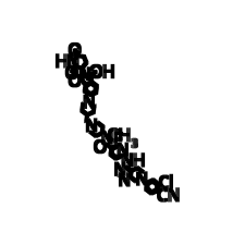 CN(C(=O)c1ccc(Nc2ncnc3c2CCN(c2ccc(C#N)c(Cl)c2)C3)nc1F)C1CCN(CC2CCN(c3ccc4c(c3)C(=O)N(C3CCC(=O)NC3=O)C4O)CC2)CC1